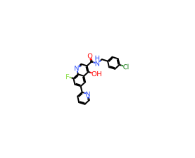 O=C(NCc1ccc(Cl)cc1)c1cnc2c(F)cc(-c3ccccn3)cc2c1O